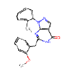 Cc1ccccc1-n1ncc2c(=O)[nH]c(Cc3ccccc3OC(F)(F)F)nc21